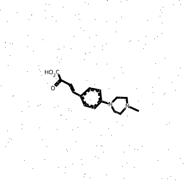 CN1CCN(c2ccc(/C=C/C(=O)C(=O)O)cc2)CC1